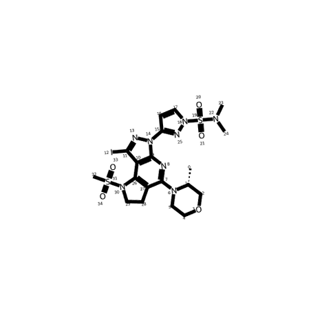 C[C@@H]1COCCN1c1nc2c(c(I)nn2-c2ccn(S(=O)(=O)N(C)C)n2)c2c1CCN2S(C)(=O)=O